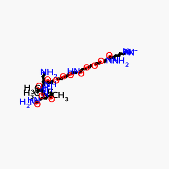 CC(C)C(=O)C(CCCNC(N)=O)NC(=O)C(NC(=O)C(CCCCN)NC(=O)CCOCCOCCOCCNC(=O)CCOCCOCCOCCNC(=O)C(N)CCCCN=[N+]=[N-])C(C)C